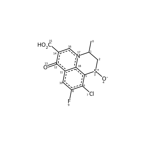 CC1C[S+]([O-])c2c(Cl)c(F)cc3c(=O)c(C(=O)O)cn1c23